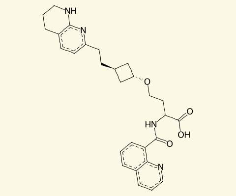 O=C(NC(CCO[C@H]1C[C@H](CCc2ccc3c(n2)NCCC3)C1)C(=O)O)c1cccc2cccnc12